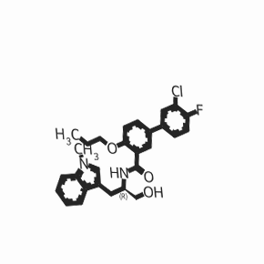 CCCOc1ccc(-c2ccc(F)c(Cl)c2)cc1C(=O)N[C@@H](CO)Cc1cn(C)c2ccccc12